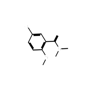 CNc1ccc(Cl)cc1C(=O)N(C)C